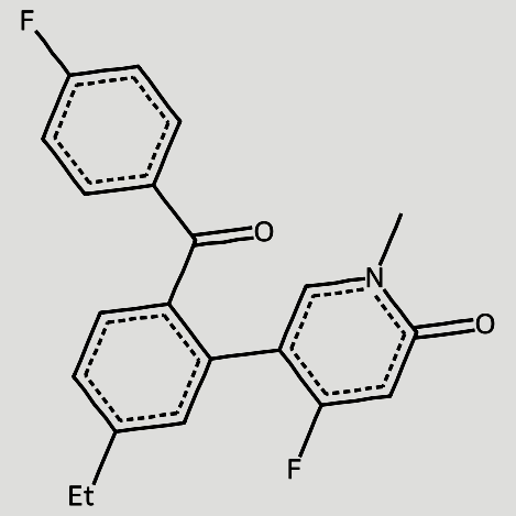 CCc1ccc(C(=O)c2ccc(F)cc2)c(-c2cn(C)c(=O)cc2F)c1